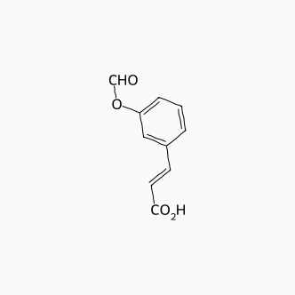 O=COc1cccc(/C=C/C(=O)O)c1